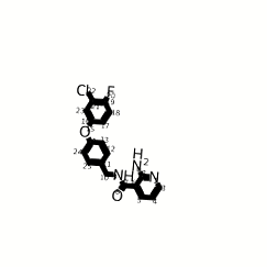 Nc1ncccc1C(=O)NCc1ccc(Oc2ccc(F)c(Cl)c2)cc1